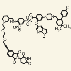 CC1(C)CCC(CN2CCN(c3ccc(C(=O)NS(=O)(=O)c4ccc(NCC5CCCN(CCOCCOCC#Cc6ccc7c(c6)C(=O)N(C6CCC(=O)NC6=O)C7=O)C5)c([N+](=O)[O-])c4)c(Oc4cnc5[nH]ccc5c4)c3)CC2)=C(c2ccc(Cl)cc2)C1